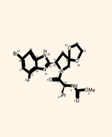 COC(=O)N[C@H](C(=O)N1CC2(C[C@H]1c1nc3c(F)cc(Br)cc3[nH]1)OCCO2)C(C)C